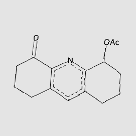 CC(=O)OC1CCCc2cc3c(nc21)C(=O)CCC3